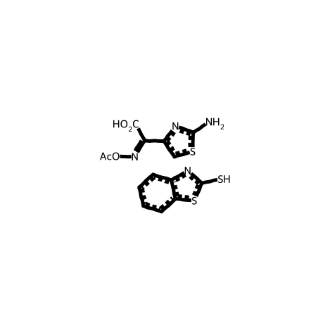 CC(=O)ON=C(C(=O)O)c1csc(N)n1.Sc1nc2ccccc2s1